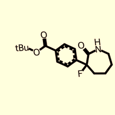 CC(C)(C)OC(=O)c1ccc(C2(F)CCCCNC2=O)cc1